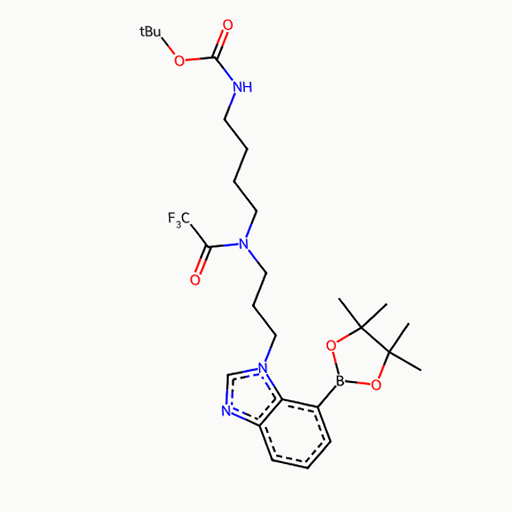 CC(C)(C)OC(=O)NCCCCN(CCCn1cnc2cccc(B3OC(C)(C)C(C)(C)O3)c21)C(=O)C(F)(F)F